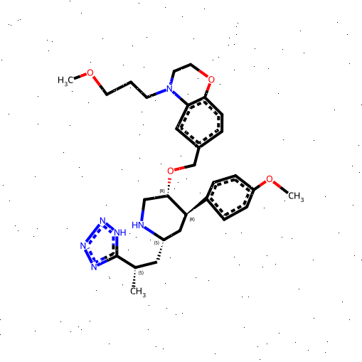 COCCCN1CCOc2ccc(CO[C@H]3CN[C@@H](C[C@H](C)c4nnn[nH]4)C[C@@H]3c3ccc(OC)cc3)cc21